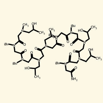 CCC(C)N(CC(N)=O)C(=O)CN(CC(C)O)C(=O)CN(CC(C)O)C(=O)CN(C(=O)CN(C(=O)CN(CC(C)O)C(=O)CN(CC(C)O)C(=O)CN(C(=O)CN(C(=O)CN(C)CC(C)O)C(C)CC)C(C)CC)C(C)CC)C(C)CC